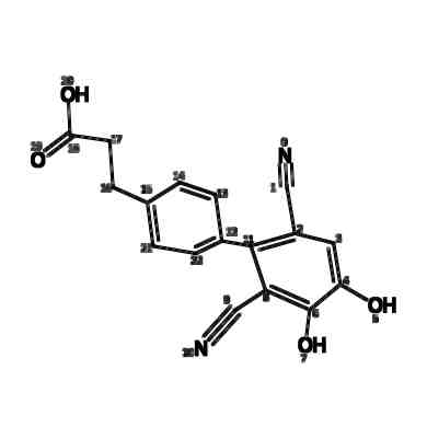 N#Cc1cc(O)c(O)c(C#N)c1-c1ccc(CCC(=O)O)cc1